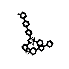 CC1C=CC=C(c2ccc(-c3ccc(-c4cc(-c5cccc6oc7c(c56)C=C(C5=CC=C(C6=CC=CCC6)CC5)CC7)nc(C5=CCCC=C5)n4)cc3)cc2)C1